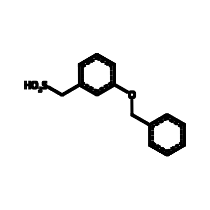 O=S(=O)(O)Cc1cccc(OCc2ccccc2)c1